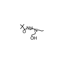 CCCN(CCO)CCNC(=O)C(C)(C)C